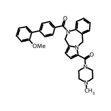 COc1ccccc1-c1ccc(C(=O)N2Cc3ccc(C(=O)N4CCN(C)CC4)n3Cc3ccccc32)cc1